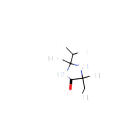 CCC1(C)NC(C)(C(C)C)NC1=O